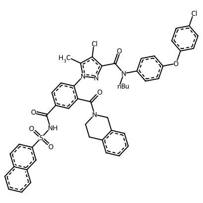 CCCCN(C(=O)c1nn(-c2ccc(C(=O)NS(=O)(=O)c3ccc4ccccc4c3)cc2C(=O)N2CCc3ccccc3C2)c(C)c1Cl)c1ccc(Oc2ccc(Cl)cc2)cc1